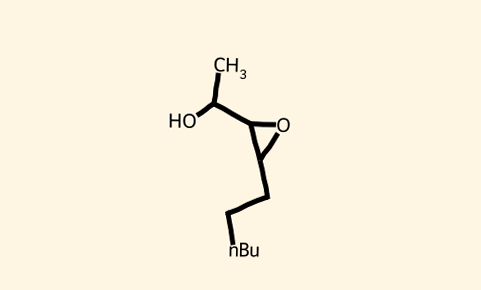 CCCCCCC1OC1C(C)O